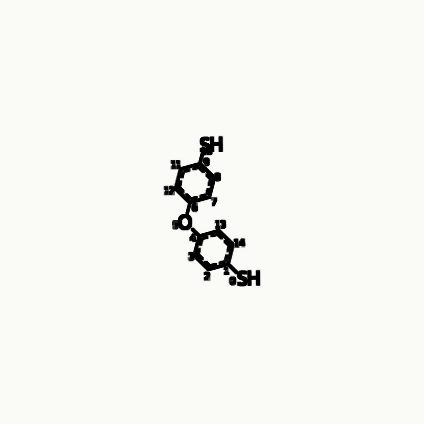 Sc1ccc(Oc2ccc(S)cc2)cc1